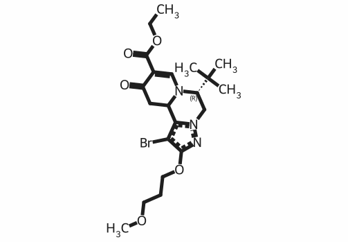 CCOC(=O)C1=CN2C(CC1=O)c1c(Br)c(OCCCOC)nn1C[C@H]2C(C)(C)C